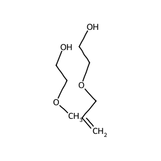 C=CCOCCO.COCCO